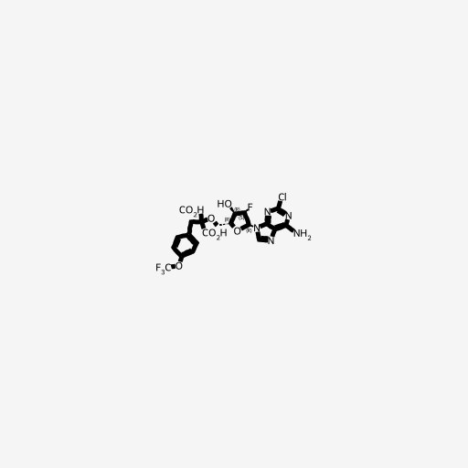 Nc1nc(Cl)nc2c1ncn2[C@@H]1O[C@H](COC(Cc2ccc(OC(F)(F)F)cc2)(C(=O)O)C(=O)O)[C@@H](O)[C@@H]1F